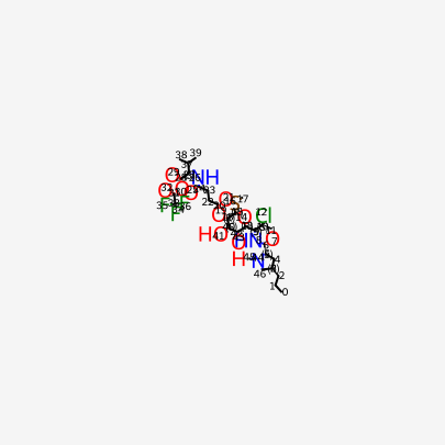 CCC[C@@H]1C[C@@H](C(=O)N[C@H]([C@H](C)Cl)[C@H]2O[C@H](SC)[C@H](OC(=O)CCC(=O)N[C@H](C(=O)OC(=O)C(F)(F)F)C(C)C)[C@@H](O)C2O)N(C)C1